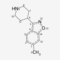 Cc1ccc2c(C3CCNCC3)noc2c1